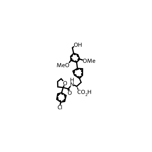 COc1cc(CO)cc(OC)c1-c1ccc(C[C@H](NC(=O)C2(c3ccc(Cl)cc3)CCCO2)C(=O)O)cc1